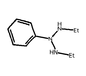 CCNN(NCC)c1ccccc1